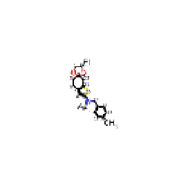 CCC1COC2(CCc3cc(N(Cc4ccc(C)cc4)C(C)=O)sc3C2)O1